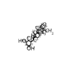 C=C1/C(=C\C=C2/CCC[C@]3(C)[C@@H]([C@H](C)CN4CCOC[C@H]4C(C)C)CC[C@@H]23)C[C@@H](O)C[C@@H]1O